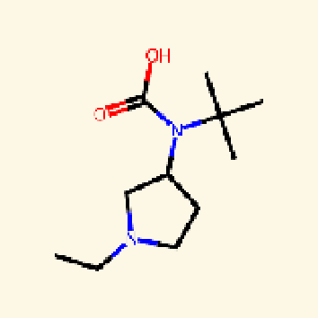 CCN1CCC(N(C(=O)O)C(C)(C)C)C1